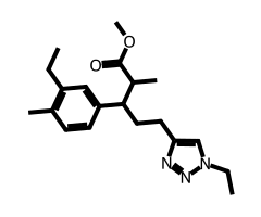 CCc1cc(C(CCc2cn(CC)nn2)C(C)C(=O)OC)ccc1C